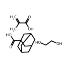 C=C(C)C(=O)O.O=C(O)C12CC3CC(CC(C3)C1)C2.OCCO